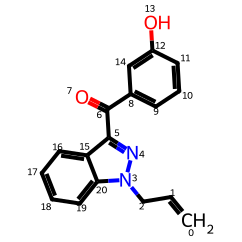 C=CCn1nc(C(=O)c2cccc(O)c2)c2ccccc21